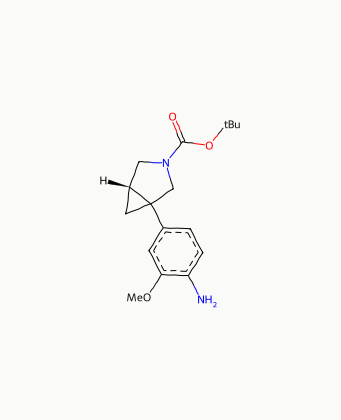 COc1cc(C23C[C@@H]2CN(C(=O)OC(C)(C)C)C3)ccc1N